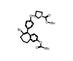 CC(C)(C)OC(=O)N1CC[C@H](Oc2ccc(C3=C(Br)CCCc4cc(OC(=O)C(C)(C)C)ccc43)cc2)C1